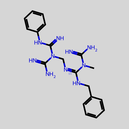 CN(C(=N)N)/C(=N\CN(C(=N)N)C(=N)Nc1ccccc1)NCc1ccccc1